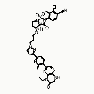 CCN1C(=O)CNc2ncc(-c3ccc(-c4ncn(CCCO[C@H]5CCN6[C@H]5C(=O)N(c5ccc(C#N)c(Cl)c5C)S6(=O)=O)n4)nc3C)nc21